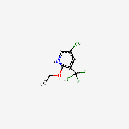 CCOc1ncc(Cl)cc1C(F)(F)F